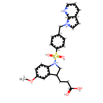 COc1ccc2c(c1)C(CCC(=O)O)CN2S(=O)(=O)c1ccc(Cn2ccc3cccnc32)cc1